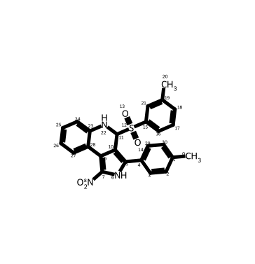 Cc1ccc(-c2[nH]c([N+](=O)[O-])c3c2C(S(=O)(=O)c2cccc(C)c2)Nc2ccccc2-3)cc1